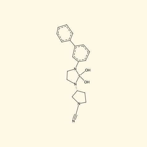 N#CN1CC[C@@H](N2CCN(c3cccc(-c4ccccc4)c3)S2(O)O)C1